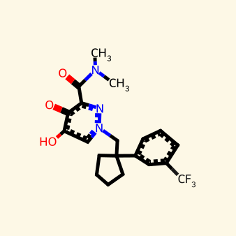 CN(C)C(=O)c1nn(CC2(c3cccc(C(F)(F)F)c3)CCCC2)cc(O)c1=O